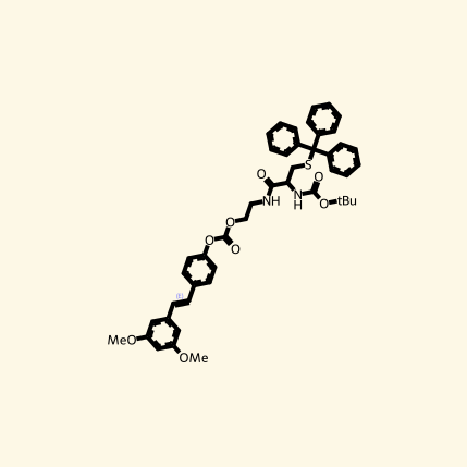 COc1cc(/C=C/c2ccc(OC(=O)OCCNC(=O)C(CSC(c3ccccc3)(c3ccccc3)c3ccccc3)NC(=O)OC(C)(C)C)cc2)cc(OC)c1